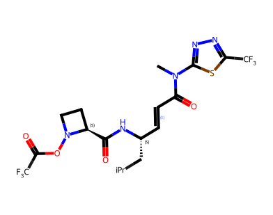 CC(C)C[C@@H](/C=C/C(=O)N(C)c1nnc(C(F)(F)F)s1)NC(=O)[C@@H]1CCN1OC(=O)C(F)(F)F